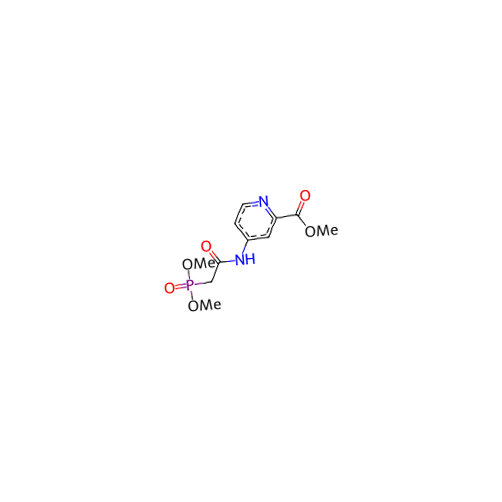 COC(=O)c1cc(NC(=O)CP(=O)(OC)OC)ccn1